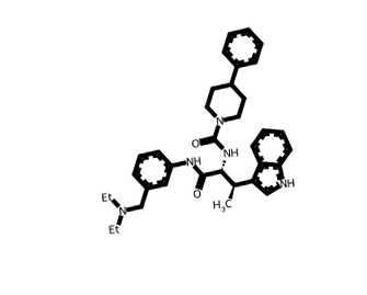 CCN(CC)Cc1cccc(NC(=O)[C@H](NC(=O)N2CCC(c3ccccc3)CC2)[C@H](C)c2c[nH]c3ccccc23)c1